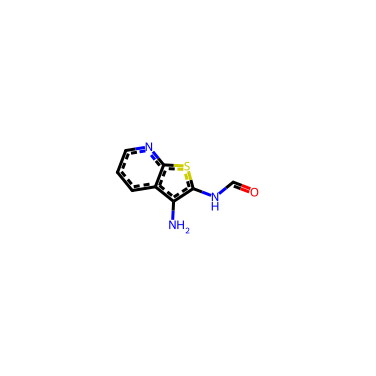 Nc1c(NC=O)sc2ncccc12